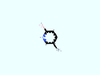 Bc1ccc(C)cn1